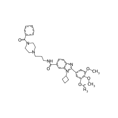 COc1cc(-c2nc3ccc(C(=O)NCCCN4CCN(C(=O)c5ccccc5)CC4)cc3n2C2CCC2)cc(OC)c1OC